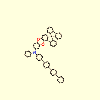 c1ccc(-c2ccc(-c3ccc(-c4ccc(N(c5ccccc5)c5ccc6c(c5)Oc5c(ccc7c5-c5ccccc5C75c7ccccc7-c7ccccc75)O6)cc4)cc3)cc2)cc1